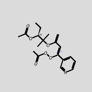 C=C(/C=C(\OOC(C)=O)c1cccnc1)OC(C)(C)[C@H](CC)OC(C)=O